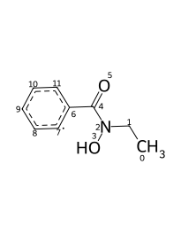 CCN(O)C(=O)c1[c]cccc1